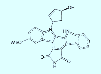 COc1ccc2c(c1)c1c3c(c4c5ccccc5[nH]c4c1n2C1C=C[C@@H](O)C1)C(=O)NC3=O